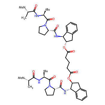 CN[C@@H](C)C(=O)N[C@H](C(=O)N1CCC[C@H]1C(=O)N[C@H]1c2ccccc2C[C@@H]1OC(=O)CCCC(=O)O[C@H]1Cc2ccccc2[C@@H]1NC(=O)[C@@H]1CCCN1C(=O)[C@@H](NC(=O)[C@H](C)NC)C(C)(C)C)C(C)(C)C